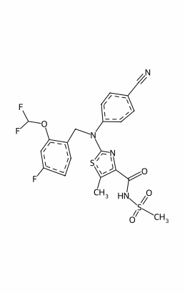 Cc1sc(N(Cc2ccc(F)cc2OC(F)F)c2ccc(C#N)cc2)nc1C(=O)NS(C)(=O)=O